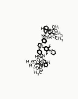 COC(=O)N[C@H](C(=O)N1[C@H](c2nc3cc([C@H]4CC[C@H](c5ccc6[nH]c([C@@H]7C[C@@H]8CCC[C@@H]8N7C(=O)[C@@H](NC(=O)O)[C@@H](C)OC)nc6c5)N4c4cc(F)c(N5CCCCC5)c(F)c4)ccc3[nH]2)C[C@@H]2CCC[C@@H]21)[C@@H](C)OC